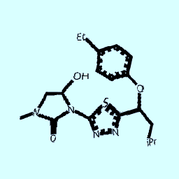 CCc1ccc(OC(CC(C)C)c2nnc(N3C(=O)N(C)CC3O)s2)cc1